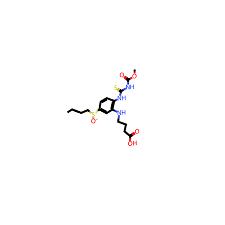 CCCC[S+]([O-])c1ccc(NC(=S)NC(=O)OC)c(NCCCC(=O)O)c1